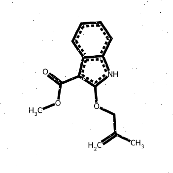 C=C(C)COc1[nH]c2ccccc2c1C(=O)OC